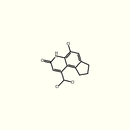 O=c1cc(C(Cl)Cl)c2c3c(cc(Cl)c2[nH]1)CCC3